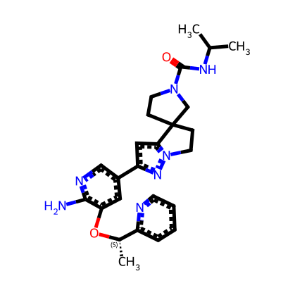 CC(C)NC(=O)N1CCC2(CCn3nc(-c4cnc(N)c(O[C@@H](C)c5ccccn5)c4)cc32)C1